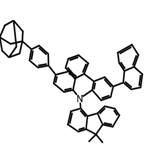 CC1(C)c2ccccc2-c2c(N(c3ccc(-c4ccc(C56CC7CC(CC(C7)C5)C6)cc4)cc3)c3ccc(-c4cccc5ccccc45)cc3-c3ccccc3)cccc21